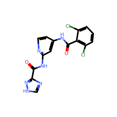 O=C(Nc1cc(NC(=O)c2c(Cl)cccc2Cl)ccn1)c1nc[nH]n1